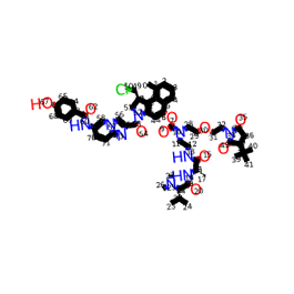 Cc1cccc2c(OC(=O)N(CCNC(=O)[C@H](C)NC(=O)[C@H](C(C)C)N(C)C)CCOCCN3C(=O)CC(C(C)(C)C)C3=O)cc3c(c12)[C@H](CCl)CN3C(=O)c1cn2cc(NC(=O)c3ccc(O)cc3)ccc2n1